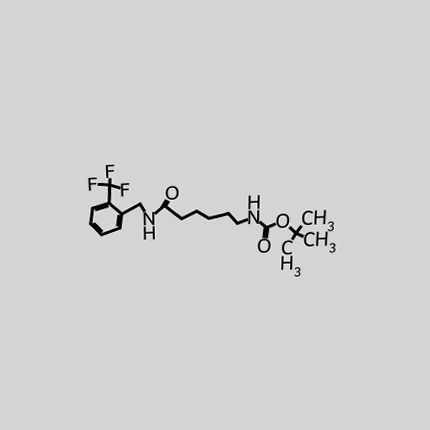 CC(C)(C)OC(=O)NCCCCCC(=O)NCc1ccccc1C(F)(F)F